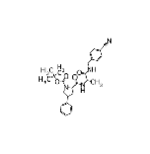 CC(NC(=O)C1CC(c2ccccc2)CN1C(=O)OC(C)(C)C)C(=O)NCc1ccc(C#N)cc1